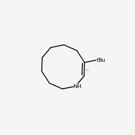 CC(C)(C)/C1=C/NCCCCCCC1